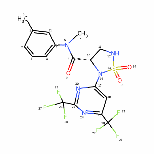 Cc1cccc(N(C)C(=O)[C@@H]2CNS(=O)(=O)N2c2cc(C(F)(F)F)nc(C(F)(F)F)n2)c1